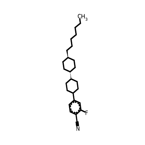 CCCCCCC[C@H]1CC[C@H](C2CCC(c3ccc(C#N)c(F)c3)CC2)CC1